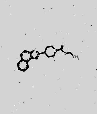 CCOC(=O)N1CCC(c2cc3c(ccc4ccccc43)o2)CC1